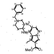 COC(=O)c1cn2ncc(C#N)c(NC3CCN(Cc4ccccc4)CC3)c2c1C